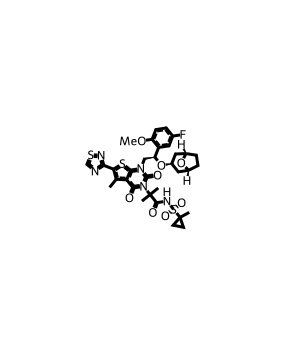 COc1ccc(F)cc1[C@H](Cn1c(=O)n(C(C)(C)C(=O)NS(=O)(=O)C2(C)CC2)c(=O)c2c(C)c(-c3ncsn3)sc21)O[C@@H]1C[C@H]2CC[C@@H](C1)O2